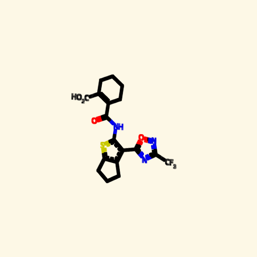 O=C(O)C1=C(C(=O)Nc2sc3c(c2-c2nc(C(F)(F)F)no2)CCC3)CCCC1